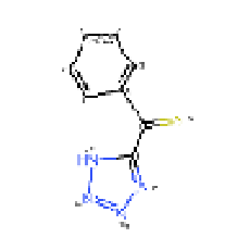 S=C(c1ccccc1)c1nnn[nH]1